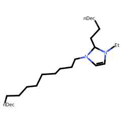 CCCCCCCCCCCCCCCCCCCN1C=CN(CC)C1CCCCCCCCCCCC